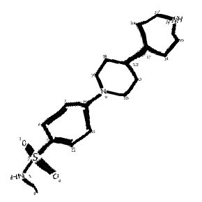 CNS(=O)(=O)c1ccc(N2CCC(C3CCNCC3)CC2)cc1